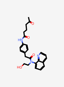 CC(=O)CCCC(=O)Nc1ccc(CC(=O)N(CCO)c2cccc3cccnc23)cc1